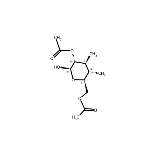 CC(=O)OC[C@H]1O[C@@H](O)[C@H](OC(C)=O)[C@@H](C)[C@@H]1C